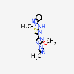 CCn1nc2c(c1Nc1nc(-c3cnc(-n4cnc(C)c4)c(OC)n3)cs1)CCCC2